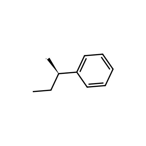 [CH2][C@H](CC)c1ccccc1